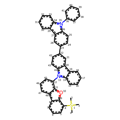 CS(C)(C)c1cccc2c1oc1c(-n3c4ccccc4c4cc(-c5ccc6c(c5)c5ccccc5n6-c5ccccc5)ccc43)cccc12